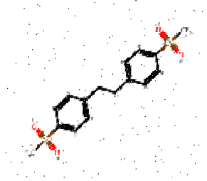 O=S(=O)(c1ccc(CCc2ccc(S(=O)(=O)C(F)(F)F)cc2)cc1)C(F)(F)F